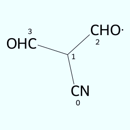 N#CC([C]=O)C=O